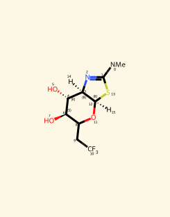 CNC1=N[C@@H]2[C@@H](O)[C@H](O)C(CC(F)(F)F)O[C@@H]2S1